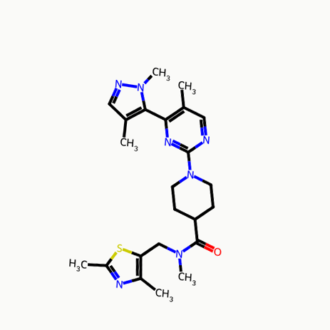 Cc1nc(C)c(CN(C)C(=O)C2CCN(c3ncc(C)c(-c4c(C)cnn4C)n3)CC2)s1